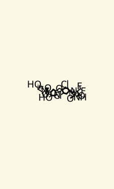 O=c1[nH]c(=O)n(-c2cc(Cl)c(Oc3cc(S(=O)(=O)N4CC[C@H](O)C4)c(O)cn3)c(Cl)c2)nc1C(F)F